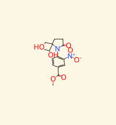 COC(=O)c1ccc(N2C(=O)CCC2(CO)C(C)O)c([N+](=O)[O-])c1